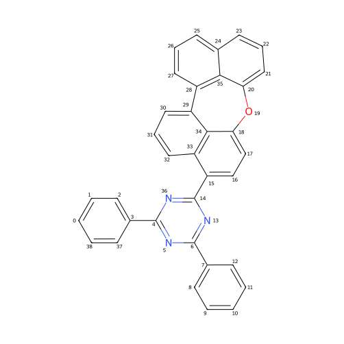 c1ccc(-c2nc(-c3ccccc3)nc(-c3ccc4oc5cccc6cccc(c7cccc3c47)c65)n2)cc1